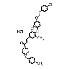 Cc1ccc(CN2CCN(C(=O)C=Cc3cc(C)c(Oc4ccc(OCCc5ccc(Cl)cc5)cn4)c(Cl)c3)CC2)cc1.Cl